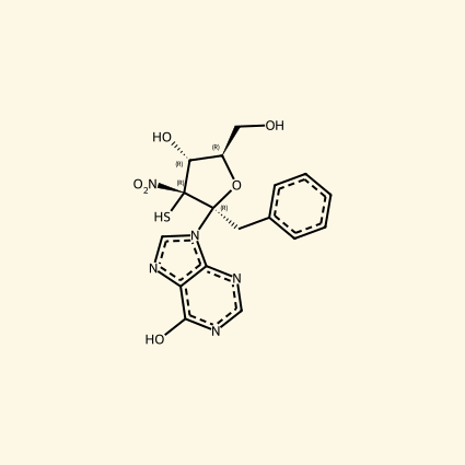 O=[N+]([O-])[C@@]1(S)[C@H](O)[C@@H](CO)O[C@@]1(Cc1ccccc1)n1cnc2c(O)ncnc21